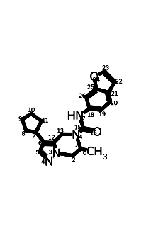 CC1Cn2ncc(C3CCCC3)c2CN1C(=O)Nc1ccc2ccoc2c1